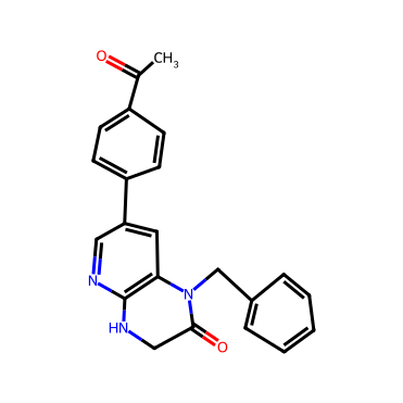 CC(=O)c1ccc(-c2cnc3c(c2)N(Cc2ccccc2)C(=O)CN3)cc1